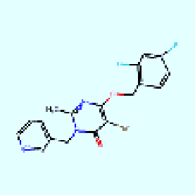 Cc1nc(OCc2ccc(F)cc2F)c(Br)c(=O)n1Cc1cccnc1